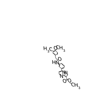 CCOC(=O)c1cnn2c(-c3cccc(NC(=O)Cc4ccc(OC)c(C)c4)c3)ccnc12